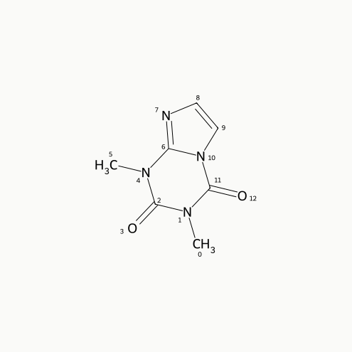 Cn1c(=O)n(C)c2nccn2c1=O